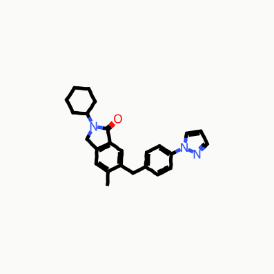 Cc1cc2c(cc1Cc1ccc(-n3cccn3)cc1)C(=O)N(C1CCCCC1)C2